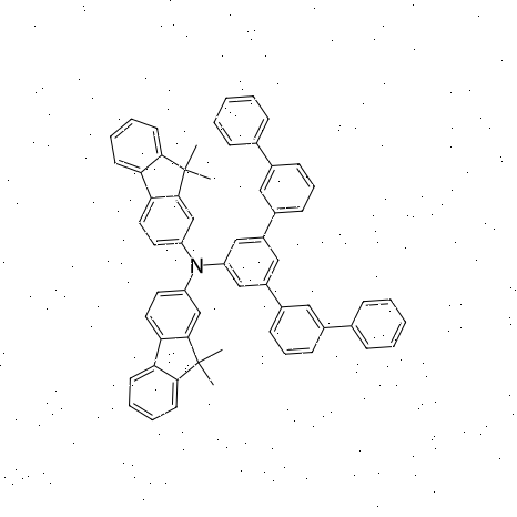 CC1(C)c2ccccc2-c2ccc(N(c3cc(-c4cccc(-c5ccccc5)c4)cc(-c4cccc(-c5ccccc5)c4)c3)c3ccc4c(c3)C(C)(C)c3ccccc3-4)cc21